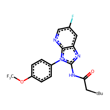 CC(C)(C)CC(=O)Nc1nc2cc(F)cnc2n1-c1ccc(OC(F)(F)F)cc1